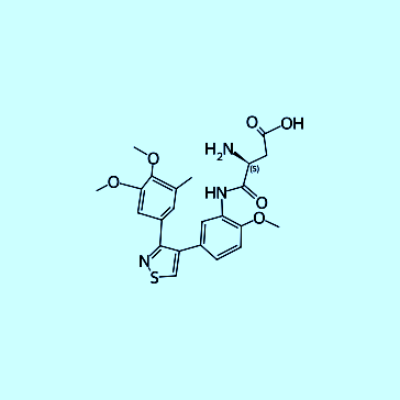 COc1ccc(-c2csnc2-c2cc(C)c(OC)c(OC)c2)cc1NC(=O)[C@@H](N)CC(=O)O